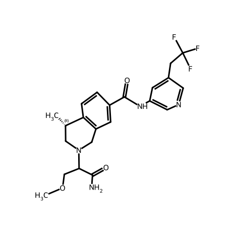 COCC(C(N)=O)N1Cc2cc(C(=O)Nc3cncc(CC(F)(F)F)c3)ccc2[C@@H](C)C1